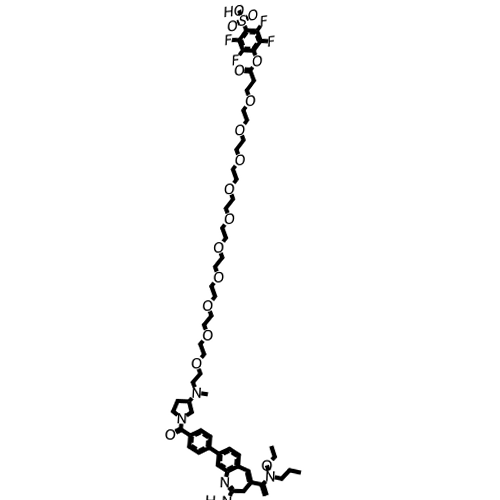 C=C(C1=Cc2ccc(-c3ccc(C(=O)N4CCC(N(C)CCOCCOCCOCCOCCOCCOCCOCCOCCOCCOCCC(=O)Oc5c(F)c(F)c(S(=O)(=O)O)c(F)c5F)C4)cc3)cc2N=C(N)C1)N(CCC)OCC